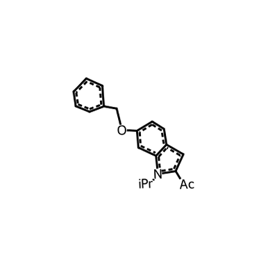 CC(=O)c1cc2ccc(OCc3ccccc3)cc2n1C(C)C